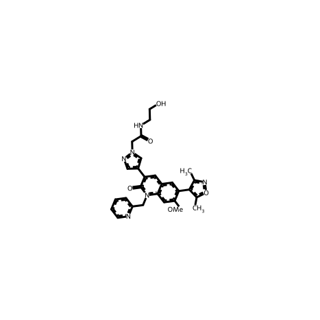 COc1cc2c(cc1-c1c(C)noc1C)cc(-c1cnn(CC(=O)NCCO)c1)c(=O)n2Cc1ccccn1